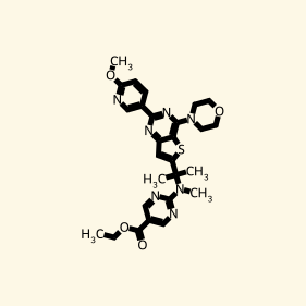 CCOC(=O)c1cnc(N(C)C(C)(C)c2cc3nc(-c4ccc(OC)nc4)nc(N4CCOCC4)c3s2)nc1